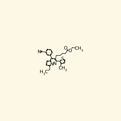 CCOC(=O)CCCCc1c(-c2sccc2C)nn2c(CC)ccc2c1-c1cccc(C#N)c1